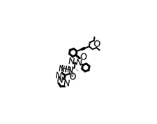 CC1CC(C#Cc2cccc3nc([C@H](C)NC(=O)c4c(N)nn5cccnc45)n(-c4ccccc4)c(=O)c23)CC(C)O1